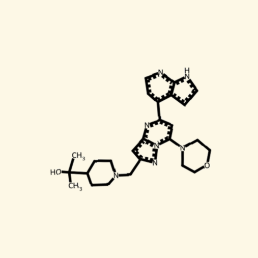 CC(C)(O)C1CCN(Cc2cc3nc(-c4ccnc5[nH]ccc45)cc(N4CCOCC4)n3n2)CC1